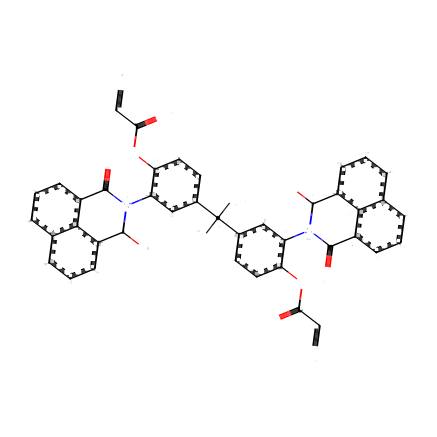 C=CC(=O)Oc1ccc(C(c2ccc(OC(=O)C=C)c(N3C(=O)c4cccc5cccc(c45)C3O)c2)(C(F)(F)F)C(F)(F)F)cc1N1C(=O)c2cccc3cccc(c23)C1O